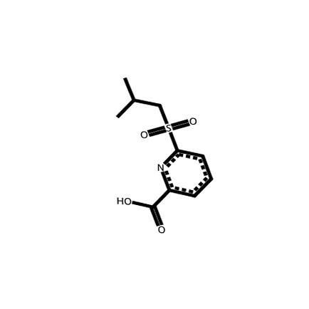 CC(C)CS(=O)(=O)c1cccc(C(=O)O)n1